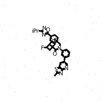 Cc1nc2ncc(-c3cccc(N(CC45CCC(c6nc(C(C)C)no6)(CC4)CC5)C(=O)C45CCC4C(F)C5)c3)cc2s1